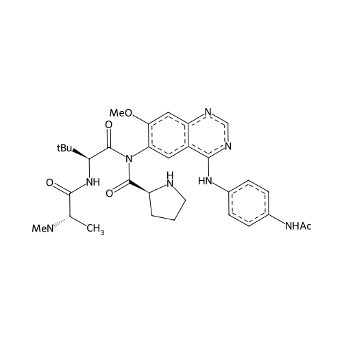 CN[C@@H](C)C(=O)N[C@H](C(=O)N(C(=O)[C@@H]1CCCN1)c1cc2c(Nc3ccc(NC(C)=O)cc3)ncnc2cc1OC)C(C)(C)C